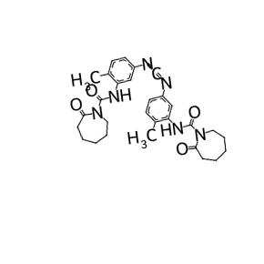 Cc1ccc(N=C=Nc2ccc(C)c(NC(=O)N3CCCCCC3=O)c2)cc1NC(=O)N1CCCCCC1=O